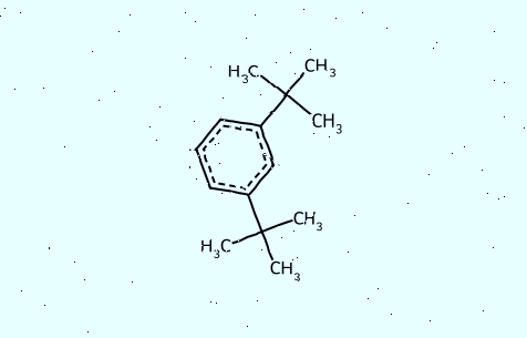 CC(C)(C)c1[c]c(C(C)(C)C)c[c]c1